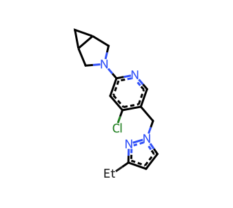 CCc1ccn(Cc2cnc(N3CC4CC4C3)cc2Cl)n1